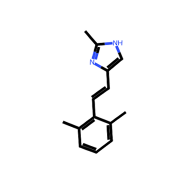 Cc1nc(C=Cc2c(C)cccc2C)c[nH]1